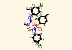 Cc1ccc(S(=O)(=O)N(SN(C)C=Nc2ccc(Cl)cc2C)c2ccc(Cl)cc2)cc1